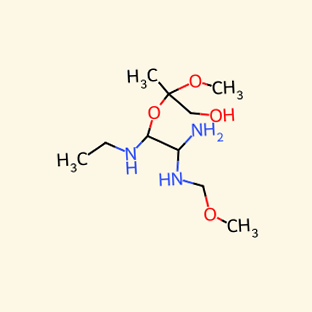 CCNC(OC(C)(CO)OC)C(N)NCOC